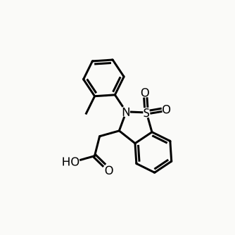 Cc1ccccc1N1C(CC(=O)O)c2ccccc2S1(=O)=O